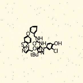 CC(C)(C)c1cc(NC(=O)NCc2ccccc2Oc2ccc3c(c2)sc2ncc(CO)n23)n(-c2ccc(O)c(Cl)c2)n1